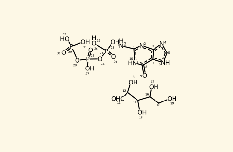 Nc1nc2nc[nH]c2c(=O)[nH]1.O=CC(O)C(O)C(O)CO.O=P(O)(O)OP(=O)(O)OP(=O)(O)O